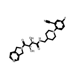 N#Cc1cc(F)ccc1N1CCC(CNC(=O)[C@H](O)[C@@H](O)C(=O)N2Cc3ccncc3C2)CC1